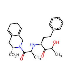 CC(O)C(=O)[C@H](CCc1ccccc1)N[C@@H](C)C(=O)N1CC2=CCCC=C2C[C@H]1C(=O)O